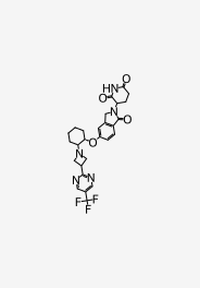 O=C1CCC(N2Cc3cc(O[C@@H]4CCCCC4N4CC(c5ncc(C(F)(F)F)cn5)C4)ccc3C2=O)C(=O)N1